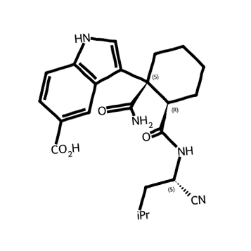 CC(C)C[C@@H](C#N)NC(=O)[C@@H]1CCCC[C@@]1(C(N)=O)c1c[nH]c2ccc(C(=O)O)cc12